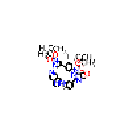 Cc1ccncc1CNc1cccc(-c2nc3c(c(N(C(=O)OC(C)(C)C)c4ccc(-c5cnn(C(=O)OC(C)(C)C)c5)cc4)n2)COC3)c1